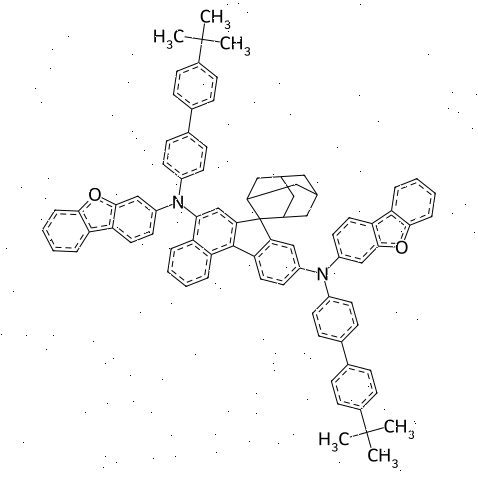 CC(C)(C)c1ccc(-c2ccc(N(c3ccc4c(c3)C3(c5cc(N(c6ccc(-c7ccc(C(C)(C)C)cc7)cc6)c6ccc7c(c6)oc6ccccc67)c6ccccc6c5-4)C4CC5CC(C4)CC3C5)c3ccc4c(c3)oc3ccccc34)cc2)cc1